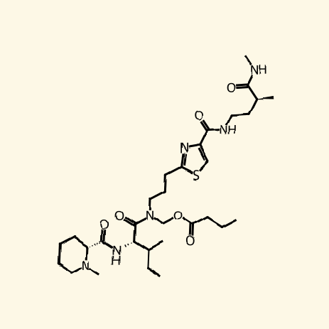 CCCC(=O)OCN(CCCc1nc(C(=O)NCC[C@H](C)C(=O)NC)cs1)C(=O)[C@@H](NC(=O)[C@H]1CCCCN1C)C(C)CC